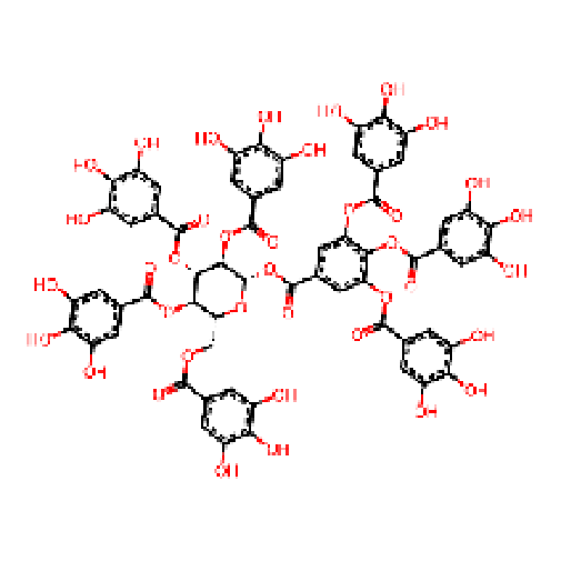 O=C(OC[C@H]1O[C@@H](OC(=O)c2cc(OC(=O)c3cc(O)c(O)c(O)c3)c(OC(=O)c3cc(O)c(O)c(O)c3)c(OC(=O)c3cc(O)c(O)c(O)c3)c2)[C@H](OC(=O)c2cc(O)c(O)c(O)c2)[C@@H](OC(=O)c2cc(O)c(O)c(O)c2)[C@@H]1OC(=O)c1cc(O)c(O)c(O)c1)c1cc(O)c(O)c(O)c1